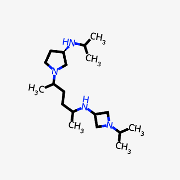 CC(C)N[C@@H]1CCN(C(C)CCC(C)NC2CN(C(C)C)C2)C1